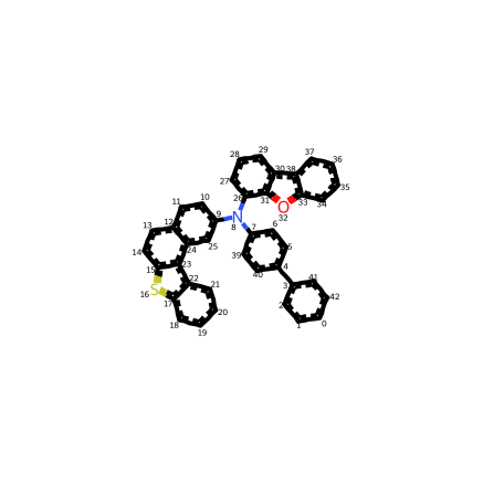 c1ccc(-c2ccc(N(c3ccc4ccc5sc6ccccc6c5c4c3)c3cccc4c3oc3ccccc34)cc2)cc1